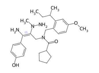 CCC(C)c1cc(OC)ccc1CN(C/C(=C(/N)c1ccc(O)cc1)N(C)N)C(=O)C1CCCC1